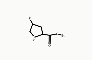 CCOC(=O)C1CC(F)CN1